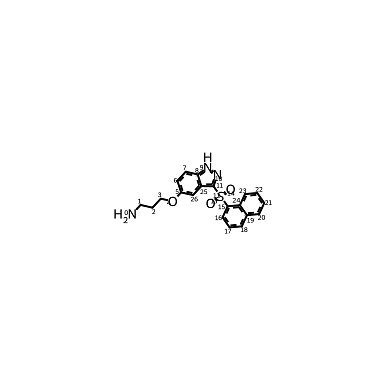 NCCCOc1ccc2[nH]nc(S(=O)(=O)c3cccc4ccccc34)c2c1